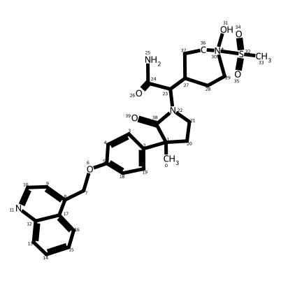 CC1(c2ccc(OCc3ccnc4ccccc34)cc2)CCN(C(C(N)=O)C2CC[N+](O)(S(C)(=O)=O)CC2)C1=O